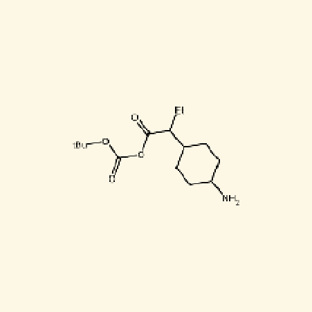 CCC(C(=O)OC(=O)OC(C)(C)C)C1CCC(N)CC1